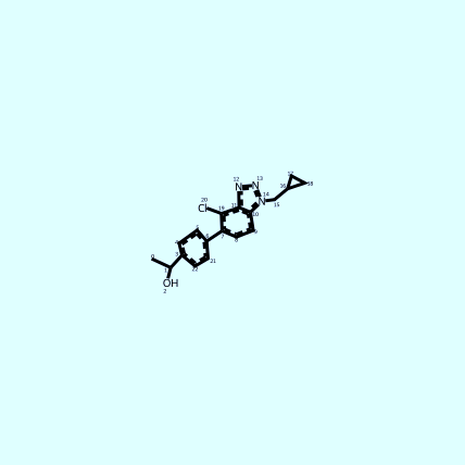 CC(O)c1ccc(-c2ccc3c(nnn3CC3CC3)c2Cl)cc1